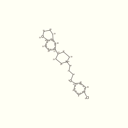 Clc1ccc(OCCCN2CCC(c3ccc4c(c3)CCCO4)CC2)cc1